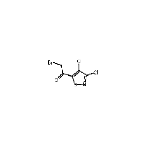 O=C(CBr)c1snc(Cl)c1Cl